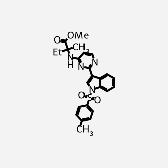 CCC(C)(Nc1ccnc(-c2cn(S(=O)(=O)c3ccc(C)cc3)c3ccccc23)n1)C(=O)OC